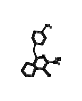 Cl.Cn1nc(Cc2ccc(N)cc2)c2ccccc2c1=O